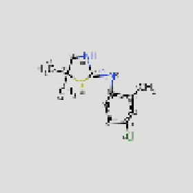 Cc1cc(Cl)ccc1/N=C1/NCC(C)(C)S1